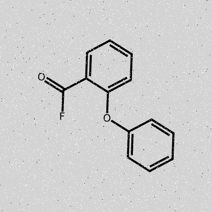 O=C(F)c1ccccc1Oc1ccccc1